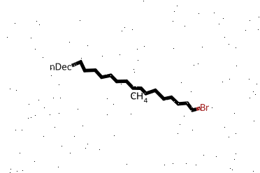 C.CCCCCCCCCCCCCCCCCCCCCCCCCCBr